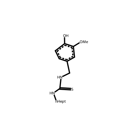 CCCCCCCNC(=S)NCc1ccc(O)c(OC)c1